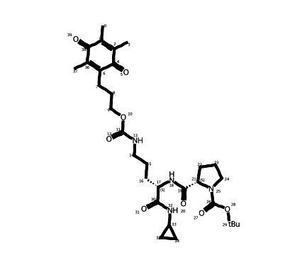 CC1=C(C)C(=O)C(CCCOC(=O)NCCC[C@H](NC(=O)[C@@H]2CCCN2C(=O)OC(C)(C)C)C(=O)NC2CC2)=C(C)C1=O